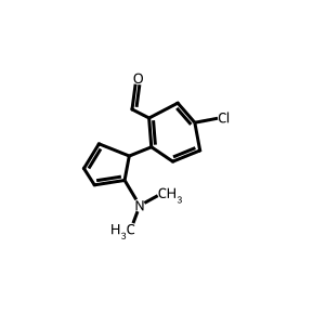 CN(C)C1=CC=CC1c1ccc(Cl)cc1C=O